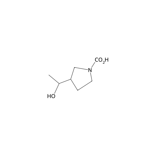 CC(O)C1CCN(C(=O)O)C1